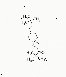 CC(C)(C)CCC1CCC2(CC1)CN(C(=O)C(C)(C)C)C2